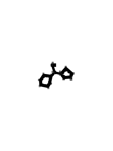 ON(c1ccccc1)n1ccnc1